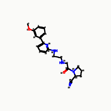 COc1cccc(-c2cccc(NCCNCC(=O)N3CCCC3C#N)n2)c1